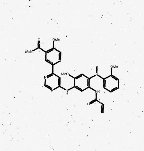 C=CC(=O)Nc1cc(Nc2cc(-c3ccc(OC)c(C(=O)NC)c3)ncn2)c(OC)cc1N(C)c1ccccc1OC